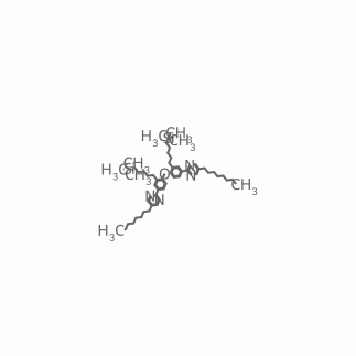 CCCCCCCCc1cnc(-c2ccc(Oc3ccc(-c4ncc(CCCCCCCC)cn4)cc3CCCCC[Si](C)(C)C)c(CCCCC[Si](C)(C)C)c2)nc1